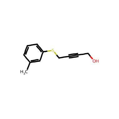 Cc1cccc(SCC#CCO)c1